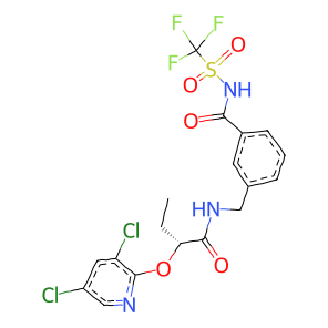 CC[C@@H](Oc1ncc(Cl)cc1Cl)C(=O)NCc1cccc(C(=O)NS(=O)(=O)C(F)(F)F)c1